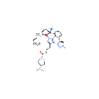 CN(C)C1CCN(C(=O)CCCc2cn(-c3ccccc3)c(-c3c(C(N)=O)cccc3-c3cnn(C)c3)n2)CC1.O=C(O)/C=C/C(=O)O